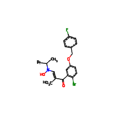 CC(C)C(C)N(O)C=C(C(=O)O)C(=O)c1cc(OCc2ccc(F)cc2)ccc1Br